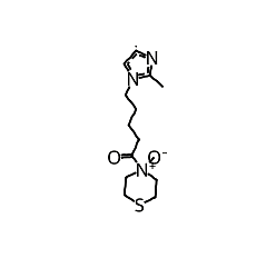 Cc1n[c]cn1CCCCC(=O)[N+]1([O-])CCSCC1